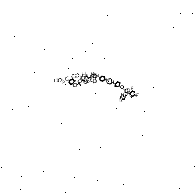 CC[C@@H]([C@H](C)OC(=O)OC(C)Oc1ccc(C(=O)O)c(C(=O)O)c1)n1ncn(-c2ccc(N3CCN(c4ccc(OC[C@@H]5CO[C@@](Cn6cncn6)(c6ccc(F)cc6F)C5)cc4)CC3)cc2)c1=O